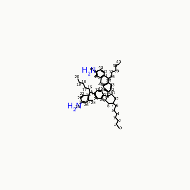 CCCCCCCC1CCC(c2ccc(C(CCCCC)c3ccc(N)cc3C)cc2)(c2ccc(C(CCCCC)c3ccc(N)cc3C)cc2)CC1